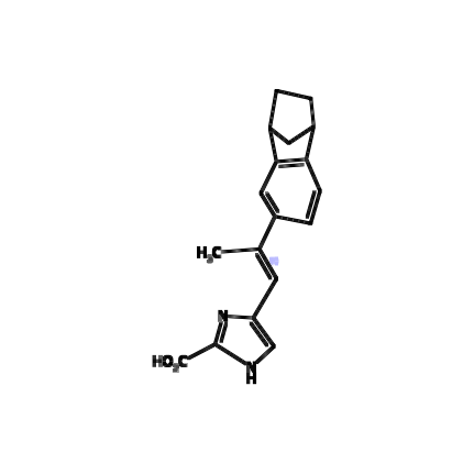 C/C(=C\c1c[nH]c(C(=O)O)n1)c1ccc2c(c1)C1CCC2C1